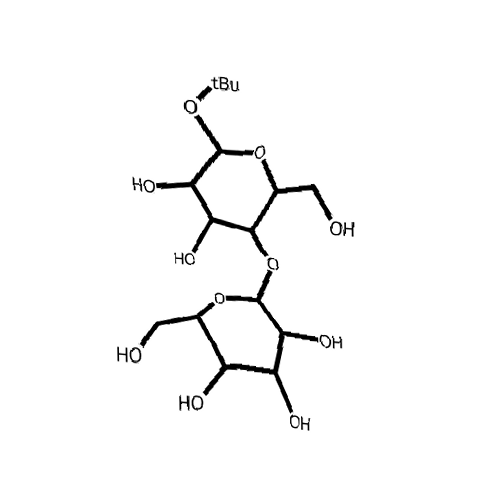 CC(C)(C)OC1OC(CO)C(OC2OC(CO)C(O)C(O)C2O)C(O)C1O